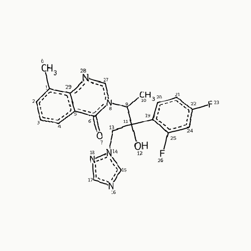 Cc1cccc2c(=O)n(C(C)C(O)(Cn3cncn3)c3ccc(F)cc3F)cnc12